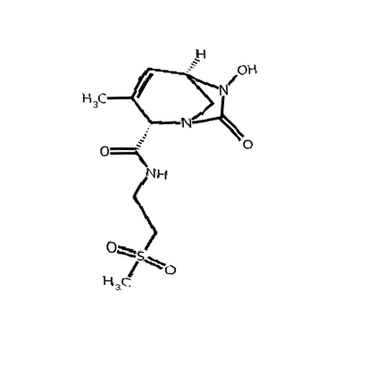 CC1=C[C@@H]2CN(C(=O)N2O)[C@@H]1C(=O)NCCS(C)(=O)=O